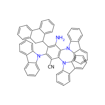 N#Cc1c(-n2c3ccccc3c3ccccc32)c(C2Cc3ccccc3-c3ccccc32)c(N)c(-n2c3ccccc3c3ccccc32)c1-n1c2ccccc2c2ccccc21